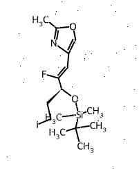 Cc1nc(/C=C(\F)[C@H](CCI)O[Si](C)(C)C(C)(C)C)co1